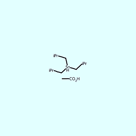 CC(=O)O.CC(C)[CH2][SnH]([CH2]C(C)C)[CH2]C(C)C